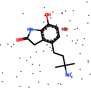 Br.CC(C)(N)CCc1ccc(O)c2c1CC(=O)N2